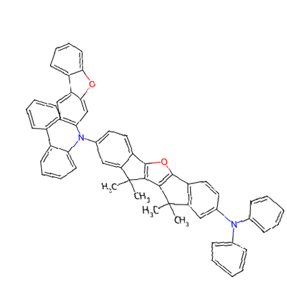 CC1(C)c2cc(N(c3ccccc3)c3ccccc3)ccc2-c2oc3c(c21)C(C)(C)c1cc(N(c2ccc4c(c2)oc2ccccc24)c2ccccc2-c2ccccc2)ccc1-3